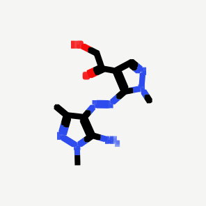 Cc1nn(C)c(N)c1N=Nc1c(C(=O)CO)cnn1C